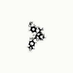 C[C@@](C(=O)NC1CCC2(CC1)COC2)(c1cncnc1)N(C(=O)[C@H](F)Cl)c1ccc(OC(F)(F)F)cc1